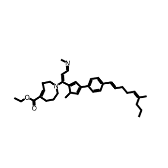 CCC/C(C)=C\CC/C=C/c1ccc(C2=CC(C)C(/C(=C\C=N/C)N3CC/C=C(\C(=O)OCC)CCC3)=C2)cc1